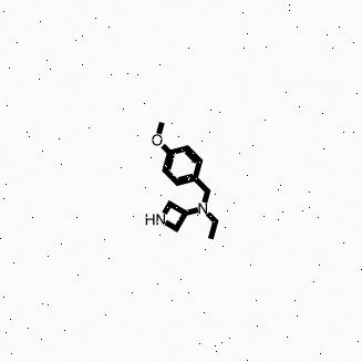 CCN(Cc1ccc(OC)cc1)C1CNC1